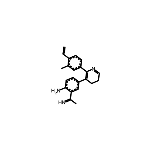 C=Cc1ccc(C2=C(c3ccc(N)c(C(C)=N)c3)CCC=N2)cc1C